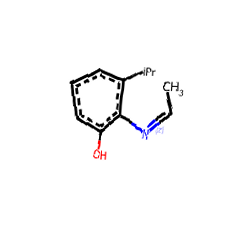 C/C=N\c1c(O)cccc1C(C)C